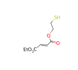 CCOC(=O)C=CC(=O)OCCS